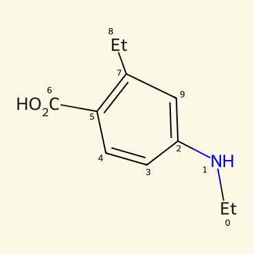 CCNc1ccc(C(=O)O)c(CC)c1